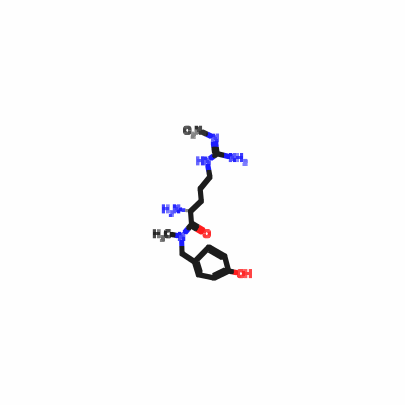 CN(Cc1ccc(O)cc1)C(=O)[C@H](N)CCCN/C(N)=N\[N+](=O)[O-]